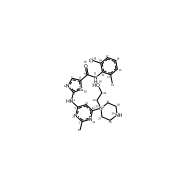 Cc1nc(Nc2ncc(C(=O)Nc3c(C)cccc3Cl)s2)cc([N+]2(CCO)CCNCC2)n1